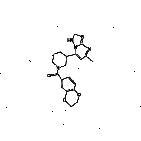 CC1=NC2=NCNN2C(C2CCCN(C(=O)c3ccc4c(c3)OCCO4)C2)=C1